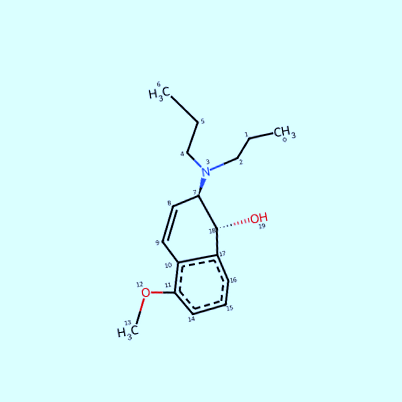 CCCN(CCC)[C@@H]1C=Cc2c(OC)cccc2[C@H]1O